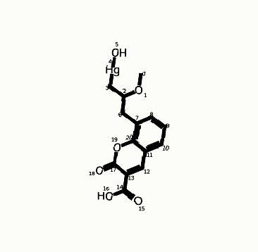 COC([CH2][Hg][OH])Cc1cccc2cc(C(=O)O)c(=O)oc12